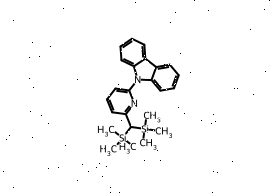 C[Si](C)(C)C(c1cccc(-n2c3ccccc3c3ccccc32)n1)[Si](C)(C)C